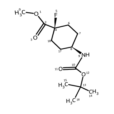 COC(=O)[C@]1(F)CC[C@@H](NC(=O)OC(C)(C)C)CC1